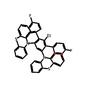 CCc1c(-c2ccc(F)cc2)c(N2c3ccccc3Sc3ccccc32)cc(N2c3ccccc3Sc3ccccc32)c1-c1ccc(F)cc1